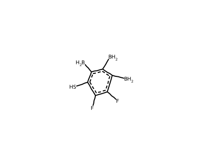 Bc1c(B)c(F)c(F)c(S)c1B